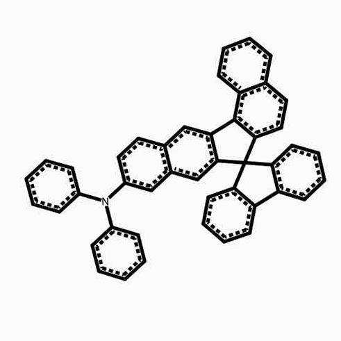 c1ccc(N(c2ccccc2)c2ccc3cc4c(cc3c2)C2(c3ccccc3-c3ccccc32)c2ccc3ccccc3c2-4)cc1